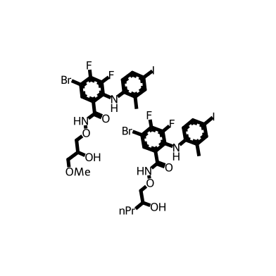 CCCC(O)CONC(=O)c1cc(Br)c(F)c(F)c1Nc1ccc(I)cc1C.COCC(O)CONC(=O)c1cc(Br)c(F)c(F)c1Nc1ccc(I)cc1C